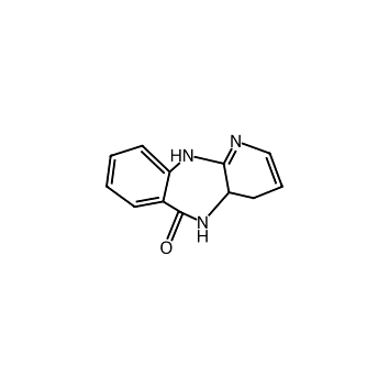 O=C1NC2CC=CN=C2Nc2ccccc21